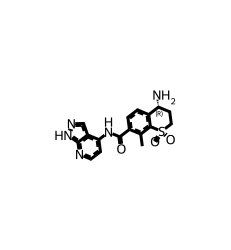 Cc1c(C(=O)Nc2ccnc3[nH]ncc23)ccc2c1S(=O)(=O)CC[C@H]2N